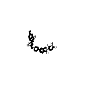 CCC1CC2C[C@@H](C1)CC(C)(c1cc(CN3CCC(c4ccc5c(c4)CN(C4CCC(=O)NC4=O)C5=O)CC3)[nH]n1)C2